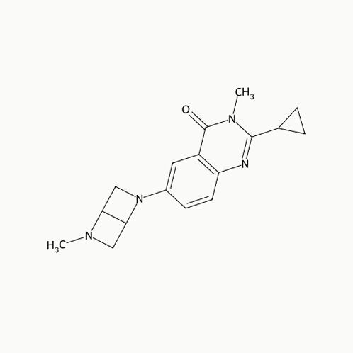 CN1CC2C1CN2c1ccc2nc(C3CC3)n(C)c(=O)c2c1